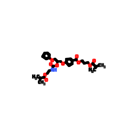 C=C(C)C(=O)OCCCOC(=O)c1ccc(OCC(COc2ccccc2)OC(=O)NCCOC(=O)C(=C)C)cc1